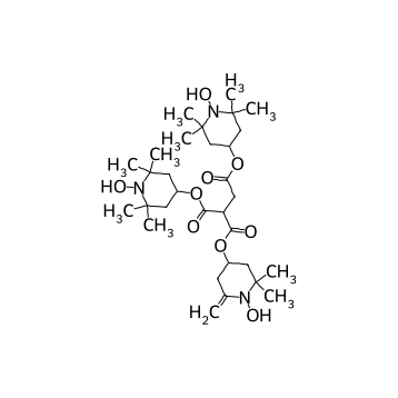 C=C1CC(OC(=O)C(CC(=O)OC2CC(C)(C)N(O)C(C)(C)C2)C(=O)OC2CC(C)(C)N(O)C(C)(C)C2)CC(C)(C)N1O